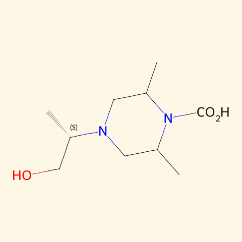 CC1CN([C@@H](C)CO)CC(C)N1C(=O)O